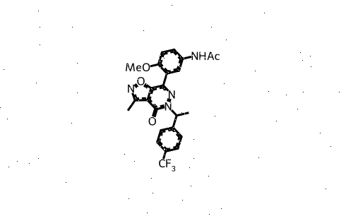 COc1ccc(NC(C)=O)cc1-c1nn(C(C)c2ccc(C(F)(F)F)cc2)c(=O)c2c(C)noc12